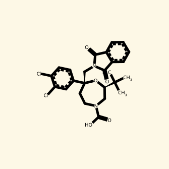 CC(C)(C)[C@H]1CN(C(=O)O)CC[C@](CN2C(=O)c3ccccc3C2=O)(c2ccc(Cl)c(Cl)c2)O1